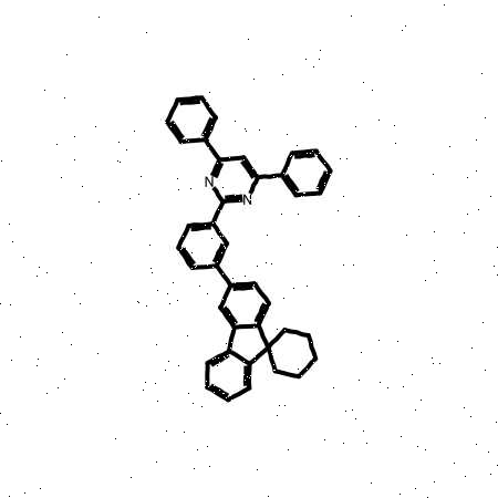 c1ccc(-c2cc(-c3ccccc3)nc(-c3cccc(-c4ccc5c(c4)-c4ccccc4C54CCCCC4)c3)n2)cc1